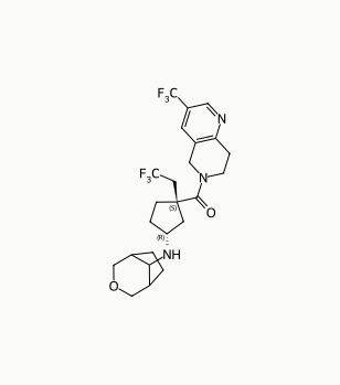 O=C(N1CCc2ncc(C(F)(F)F)cc2C1)[C@@]1(CC(F)(F)F)CC[C@@H](NC2C3CCC2COC3)C1